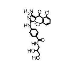 Nc1nc(Nc2ccc(C(=O)NCC(O)CO)cc2)sc1C(=O)c1c(Cl)cccc1Cl